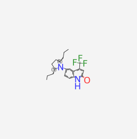 CCC[C@@H]1CC[C@H](CCC)N1c1ccc2[nH]c(=O)cc(C(F)(F)F)c2c1